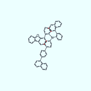 c1ccc(N(c2ccc(-c3ccc(-c4cccc5ccccc45)cc3)cc2)c2ccccc2-c2cccc3c2oc2ccccc23)c(-c2cccc3ccccc23)c1